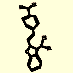 CCN(CC)c1ccc(C=CC2Oc3ccccc3N2N(CC)CC)cc1